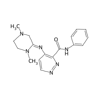 CN1CCN(C)/C(=N\c2ccnnc2C(=O)Nc2ccccc2)C1